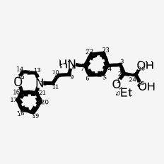 CCOC(Cc1ccc(NCCCN2CCOc3ccccc32)cc1)C(O)O